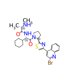 CN[C@@H](C)C(=O)N[C@H](C(=O)N1CCC[C@H]1c1nc(-c2cc(Br)nc3ccccc23)cs1)C1CCCCC1